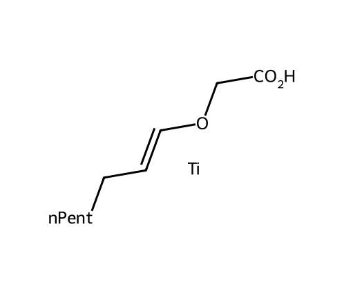 CCCCCCC=COCC(=O)O.[Ti]